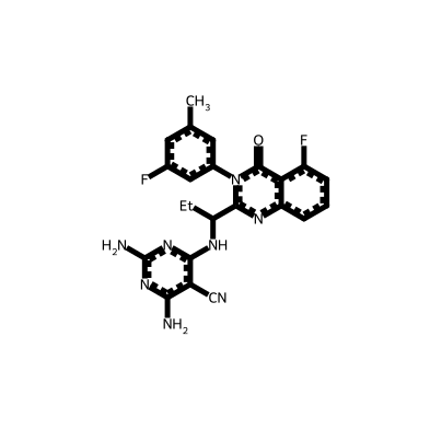 CCC(Nc1nc(N)nc(N)c1C#N)c1nc2cccc(F)c2c(=O)n1-c1cc(C)cc(F)c1